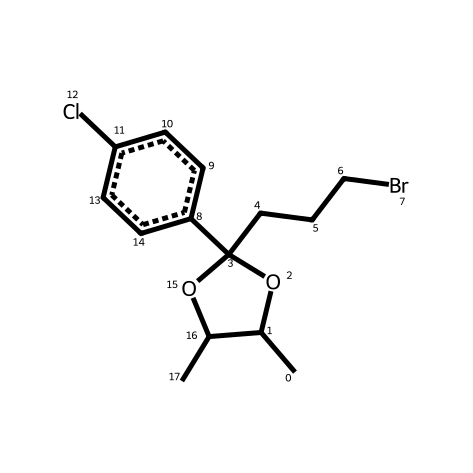 CC1OC(CCCBr)(c2ccc(Cl)cc2)OC1C